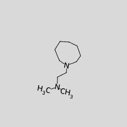 CN(C)CCN1CCCCCCC1